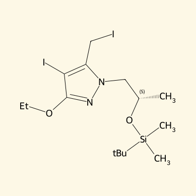 CCOc1nn(C[C@H](C)O[Si](C)(C)C(C)(C)C)c(CI)c1I